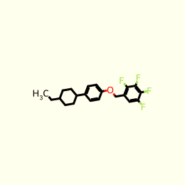 CCC1CCC(c2ccc(OCc3cc(F)c(F)c(F)c3F)cc2)CC1